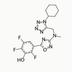 CN(Cc1nnnn1C1CCCCC1)c1noc(-c2cc(F)c(F)c(O)c2F)n1